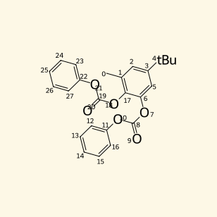 Cc1cc(C(C)(C)C)cc(OC(=O)Oc2ccccc2)c1OC(=O)Oc1ccccc1